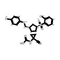 N#CC1(NC(=O)O)CC1.O=S(=O)(c1ccccc1Cl)[C@H]1CC[C@@H](COc2ccc(Cl)cc2)C1